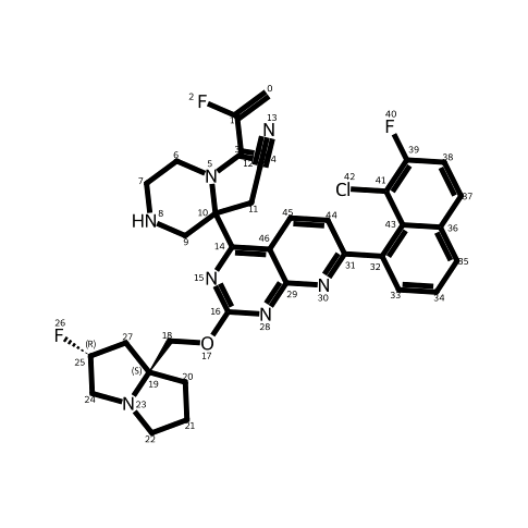 C=C(F)C(=O)N1CCNCC1(CC#N)c1nc(OC[C@@]23CCCN2C[C@H](F)C3)nc2nc(-c3cccc4ccc(F)c(Cl)c34)ccc12